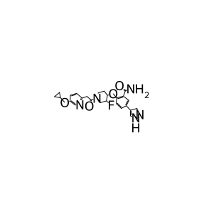 NC(=O)c1cc(-c2cn[nH]c2)ccc1OC1CCN(C(=O)Cc2ccc(OC3CC3)cn2)CC1F